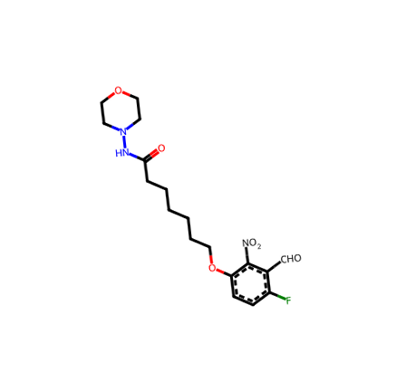 O=Cc1c(F)ccc(OCCCCCCC(=O)NN2CCOCC2)c1[N+](=O)[O-]